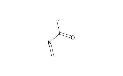 [CH2]C(=O)N=C